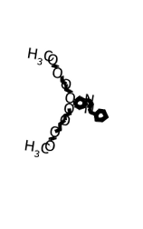 COCCOCCOCCOc1cc2ncn(Cc3ccccc3)c2cc1OCCOCCOCCOC